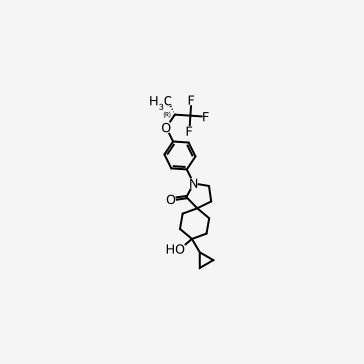 C[C@@H](Oc1ccc(N2CCC3(CCC(O)(C4CC4)CC3)C2=O)cc1)C(F)(F)F